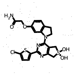 NC(=O)COc1ccc2c(c1)N(c1nc(-c3ccc(Cl)s3)nc3c1CS(O)(O)C3)CC2